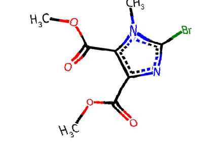 COC(=O)c1nc(Br)n(C)c1C(=O)OC